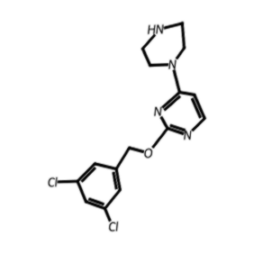 Clc1cc(Cl)cc(COc2nccc(N3CCNCC3)n2)c1